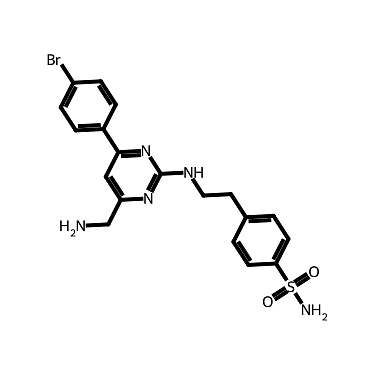 NCc1cc(-c2ccc(Br)cc2)nc(NCCc2ccc(S(N)(=O)=O)cc2)n1